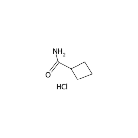 Cl.NC(=O)C1CCC1